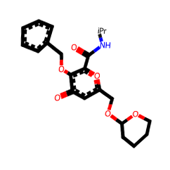 CC(C)NC(=O)c1oc(COC2CCCCO2)cc(=O)c1OCc1ccccc1